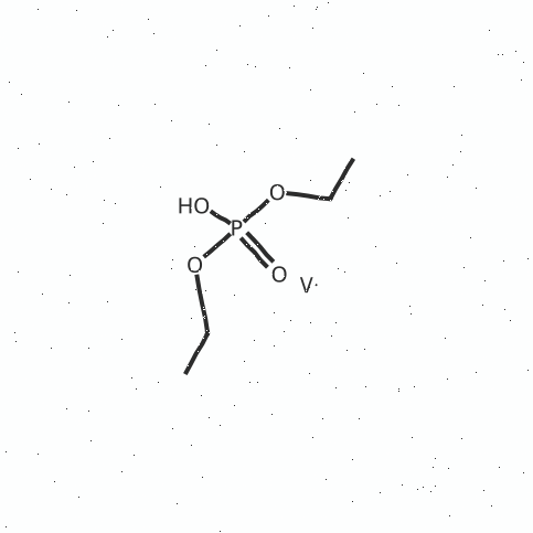 CCOP(=O)(O)OCC.[V]